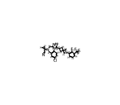 N#CC1(N2Cc3cc(Cl)ccc3-n3c(nnc3C3CC4(C3)CN(c3cccc(C(F)(F)F)c3F)C4)C2)CC1